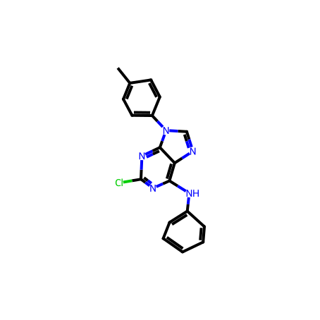 Cc1ccc(-n2cnc3c(Nc4ccccc4)nc(Cl)nc32)cc1